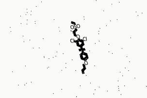 CCCCOc1ccc(C(C)(C)c2cc(Cl)c(OC[C@H](C)CS(=O)(=O)CC)c(Cl)c2)cc1